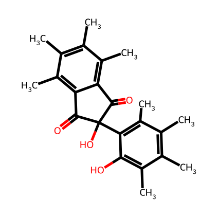 Cc1c(C)c(C)c(C2(O)C(=O)c3c(C)c(C)c(C)c(C)c3C2=O)c(O)c1C